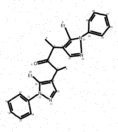 CCc1c(C(C)C(=O)C(C)c2cnn(-c3ccccc3)c2CC)cnn1-c1ccccc1